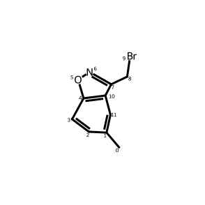 Cc1ccc2onc(CBr)c2c1